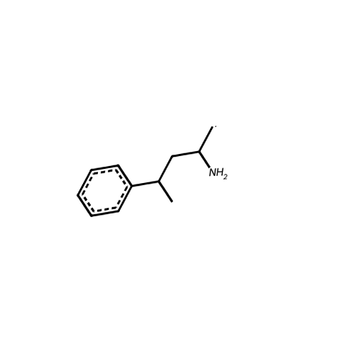 [CH2]C(N)CC(C)c1ccccc1